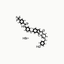 Br.Cn1c(C(=O)N2CCN(Cc3ccc(O)cc3)CC2)cc2ccc(Oc3ccc(NC(=O)c4ccc(C(F)(F)F)cc4)cn3)cc21